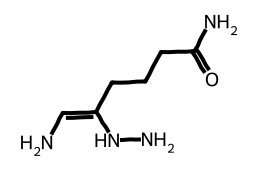 N/C=C(/CCCC(N)=O)NN